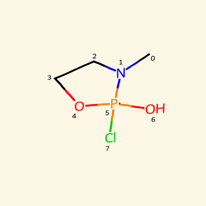 CN1CCO[P]1(O)Cl